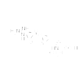 N=C(N)Nc1ccc2c(c1)OCCCOc1cc(CCC(=O)N[C@@H](CC(=O)O)C(=O)O)ccc1OC2=O